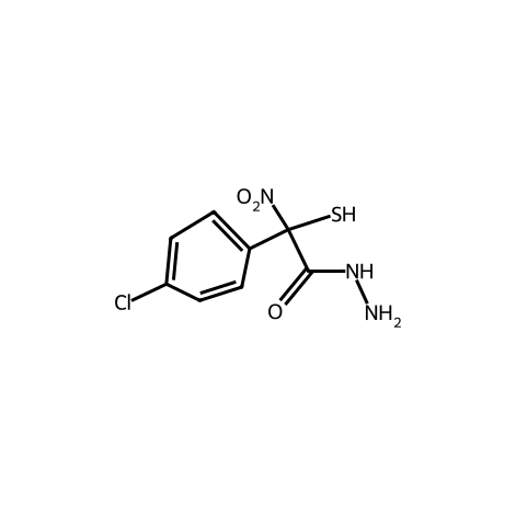 NNC(=O)C(S)(c1ccc(Cl)cc1)[N+](=O)[O-]